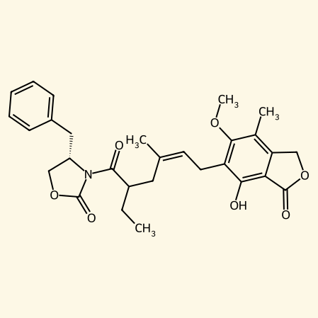 CCC(CC(C)=CCc1c(O)c2c(c(C)c1OC)COC2=O)C(=O)N1C(=O)OC[C@@H]1Cc1ccccc1